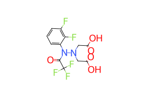 O=C(O)CN(CC(=O)O)N(C(=O)C(F)(F)F)c1cccc(F)c1F